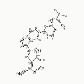 CC(C)C(=O)Nc1cncc(-c2cnc3[nH]nc(-c4cc5c(C#N)cccc5[nH]4)c3c2)c1